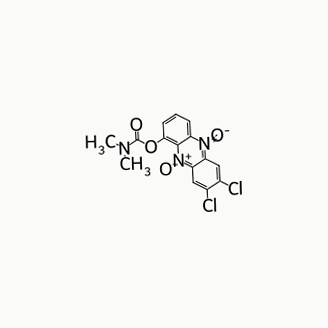 CN(C)C(=O)Oc1cccc2c1[n+]([O-])c1cc(Cl)c(Cl)cc1[n+]2[O-]